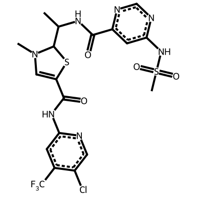 CC(NC(=O)c1cc(NS(C)(=O)=O)ncn1)C1SC(C(=O)Nc2cc(C(F)(F)F)c(Cl)cn2)=CN1C